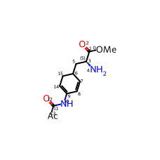 COC(=O)[C@@H](N)CC1C=CC(NC(=O)C(C)=O)=CC1